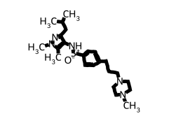 Cc1c(N[S+]([O-])c2ccc(CCCN3CCN(C)CC3)cc2)c(CC(C)C)nn1C